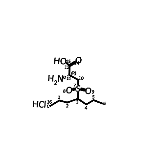 CCCC(CCC)S(=O)(=O)C[C@H](N)C(=O)O.Cl